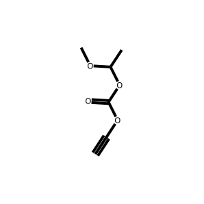 C#COC(=O)OC(C)OC